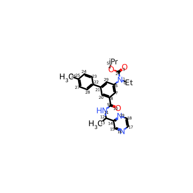 CCN(C(=O)OC(C)C)c1cc(C(=O)NC(C)c2cnccn2)cc(-c2ccc(C)cc2)c1